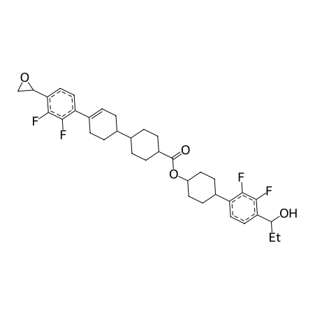 CCC(O)c1ccc(C2CCC(OC(=O)C3CCC(C4CC=C(c5ccc(C6CO6)c(F)c5F)CC4)CC3)CC2)c(F)c1F